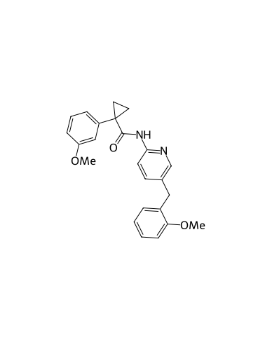 COc1cccc(C2(C(=O)Nc3ccc(Cc4ccccc4OC)cn3)CC2)c1